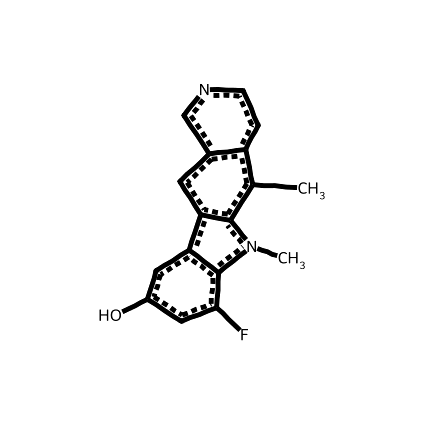 Cc1c2ccncc2cc2c3cc(O)cc(F)c3n(C)c12